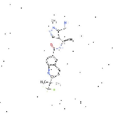 C[C@@H](NC(=O)c1ccc2nc(C(C)(C)C(F)(F)F)ccc2c1)c1cnn(C)c1C=N